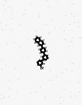 Brc1cccc(-c2cccc(-c3ccc(-c4ccc5ccccc5c4)cc3)c2)c1